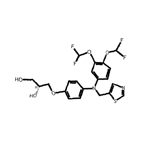 OC[C@@H](O)COc1ccc(N(Cc2cncs2)c2ccc(OC(F)F)c(OC(F)F)c2)cc1